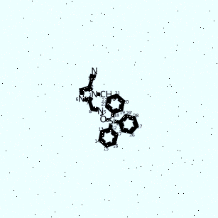 Cn1c(C#N)cnc1C=NO[Si](c1ccccc1)(c1ccccc1)c1ccccc1